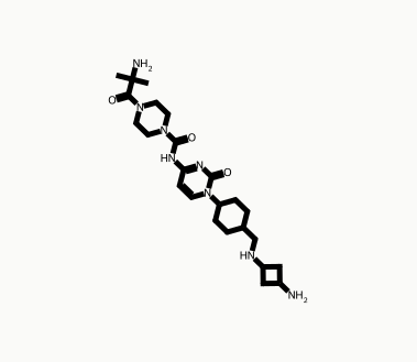 CC(C)(N)C(=O)N1CCN(C(=O)Nc2ccn(C3CCC(CNC4CC(N)C4)CC3)c(=O)n2)CC1